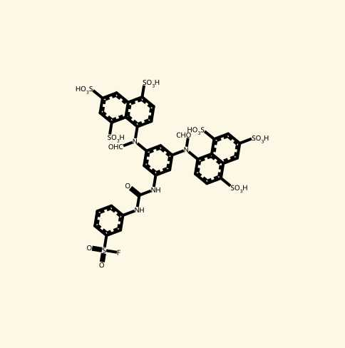 O=CN(c1cc(NC(=O)Nc2cccc(S(=O)(=O)F)c2)cc(N(C=O)c2ccc(S(=O)(=O)O)c3cc(S(=O)(=O)O)cc(S(=O)(=O)O)c23)c1)c1ccc(S(=O)(=O)O)c2cc(S(=O)(=O)O)cc(S(=O)(=O)O)c12